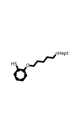 CCCCCCCCCCCCOc1ccccc1S